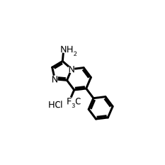 Cl.Nc1cnc2c(C(F)(F)F)c(-c3ccccc3)ccn12